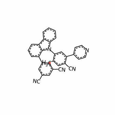 Cc1cc(C#N)c(-c2ccncc2)cc1-n1c2ccccc2c2cccc(-c3cc(C#N)cc(C#N)c3)c21